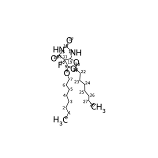 CCCCCCCCOC(=O)C1(F)C(=O)NC(=O)NC1OCCCCCCCC